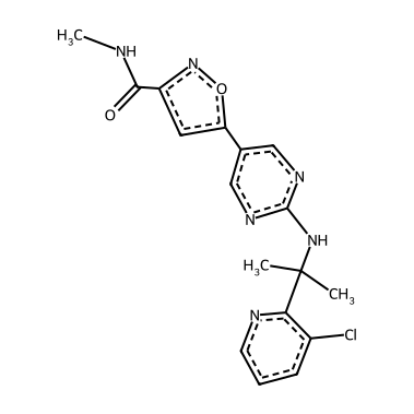 CNC(=O)c1cc(-c2cnc(NC(C)(C)c3ncccc3Cl)nc2)on1